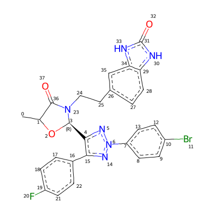 CC1O[C@H](c2nn(-c3ccc(Br)cc3)nc2-c2ccc(F)cc2)N(CCc2ccc3[nH]c(=O)[nH]c3c2)C1=O